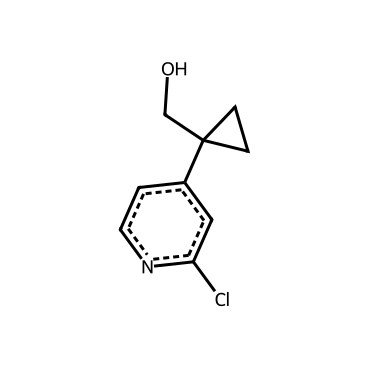 OCC1(c2ccnc(Cl)c2)CC1